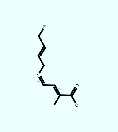 C/C(=C\C=N/CC=CCF)C(=O)O